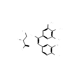 CC(C)C[C@H](N)C(N)=O.COc1ccc(/C=C(/C#N)c2cc(OC)c(OC)c(OC)c2)cc1N